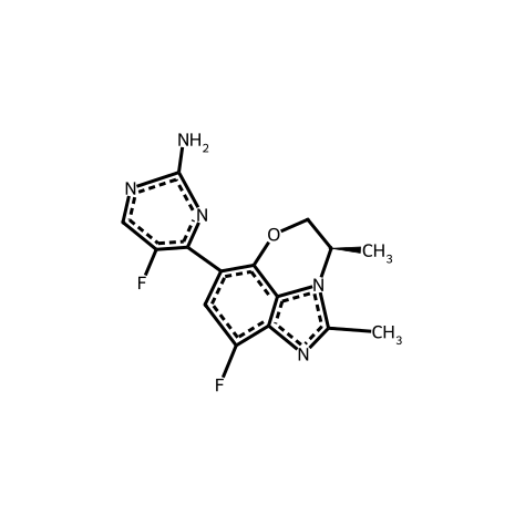 Cc1nc2c(F)cc(-c3nc(N)ncc3F)c3c2n1[C@H](C)CO3